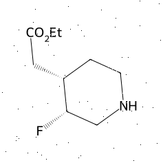 CCOC(=O)C[C@@H]1CCNC[C@@H]1F